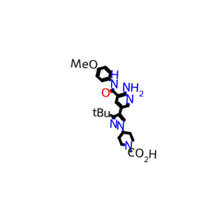 COc1ccc(NC(=O)c2cc(-c3cn(C4CCN(C(=O)O)CC4)nc3C(C)(C)C)cnc2N)cc1